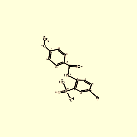 O=C(Nc1ccc(Br)cc1P(=O)(O)O)c1ccc(OC(F)(F)F)cc1